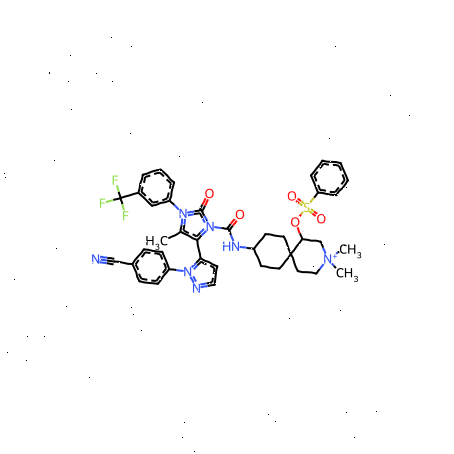 Cc1c(-c2ccnn2-c2ccc(C#N)cc2)n(C(=O)NC2CCC3(CC2)CC[N+](C)(C)CC3OS(=O)(=O)c2ccccc2)c(=O)n1-c1cccc(C(F)(F)F)c1